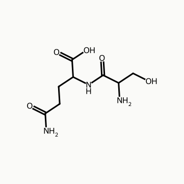 NC(=O)CCC(NC(=O)C(N)CO)C(=O)O